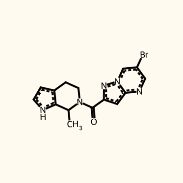 CC1c2[nH]ccc2CCN1C(=O)c1cc2ncc(Br)cn2n1